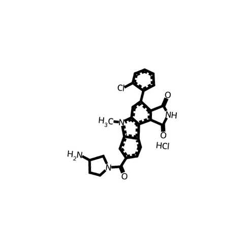 Cl.Cn1c2cc(C(=O)N3CCC(N)C3)ccc2c2c3c(c(-c4ccccc4Cl)cc21)C(=O)NC3=O